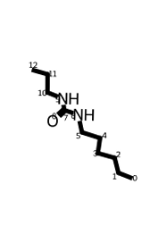 CCCCCCNC(=O)NCCC